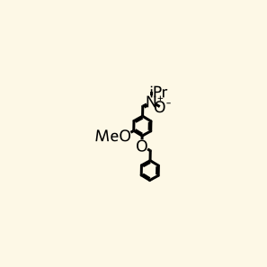 COc1cc(C=[N+]([O-])C(C)C)ccc1OCc1ccccc1